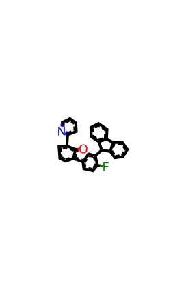 Fc1ccc2c(oc3c(-c4ccccn4)cccc32)c1C1c2ccccc2-c2ccccc21